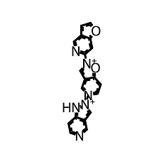 c1cc2[nH][n+](-[n+]3ccc4o[n+](-c5cc6occc6cn5)cc4c3)cc2cn1